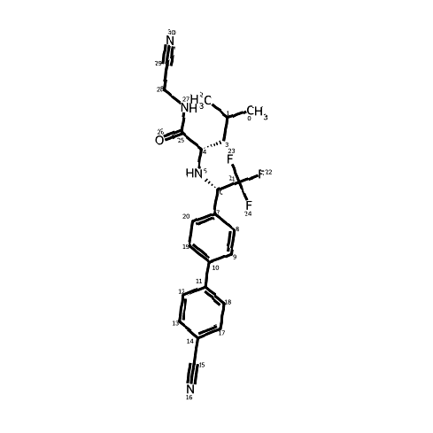 CC(C)C[C@H](N[C@@H](c1ccc(-c2ccc(C#N)cc2)cc1)C(F)(F)F)C(=O)NCC#N